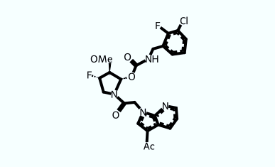 CO[C@@H]1[C@@H](F)CN(C(=O)Cn2cc(C(C)=O)c3cccnc32)[C@H]1OC(=O)NCc1cccc(Cl)c1F